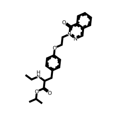 CCNC(Cc1ccc(OCCn2ncc3ccccc3c2=O)cc1)C(=O)OC(C)C